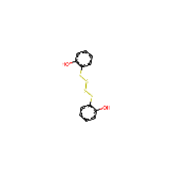 Oc1ccccc1SSSSc1ccccc1O